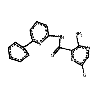 Nc1ncc(Cl)nc1C(=O)Nc1cccc(-c2ccccc2)n1